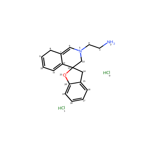 Cl.Cl.NCCN1C=C2CC=CC=C2C2(Cc3ccccc3O2)C1